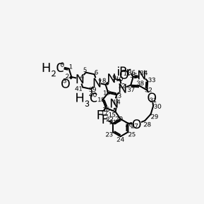 C=CC(=O)N1CCN(c2nc(=O)n3c4nc(c(F)cc24)-c2c(F)cccc2OCCCOc2cnc(C(C)C)c-3c2)[C@@H](C)C1